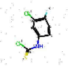 Fc1ccc(NC(=S)Cl)cc1Cl